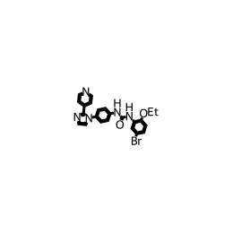 CCOc1ccc(Br)cc1NC(=O)Nc1ccc(-n2ccnc2-c2ccncc2)cc1